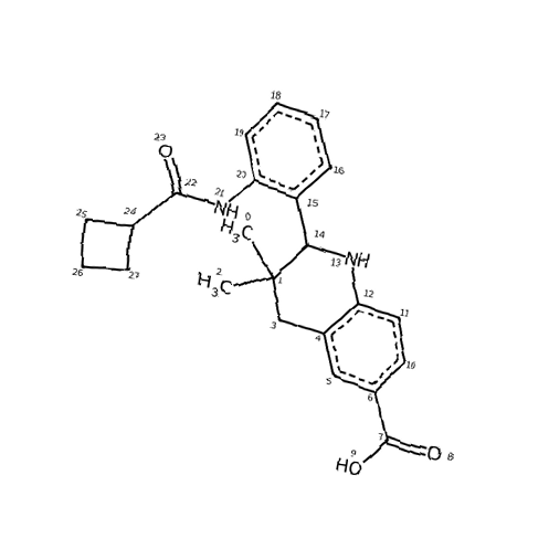 CC1(C)Cc2cc(C(=O)O)ccc2NC1c1ccccc1NC(=O)C1CCC1